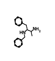 CC(N)C(Cc1ccccc1)NCc1ccccc1